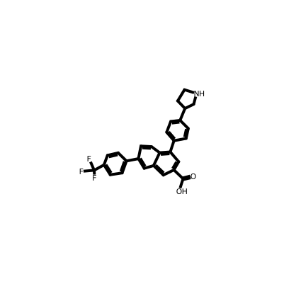 O=C(O)c1cc(-c2ccc(C3CCNC3)cc2)c2ccc(-c3ccc(C(F)(F)F)cc3)cc2c1